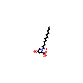 CCCCCCCCCCCC(=O)N1CC(O)C[C@H]1C(=O)O